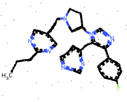 CCCc1ncc(CN2CCC(n3cnc(-c4ccc(F)cc4)c3-c3ccncn3)C2)cn1